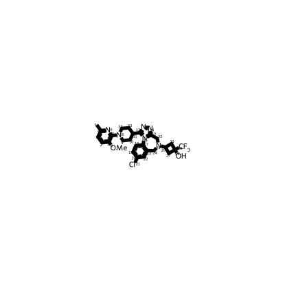 COc1ccc(C)nc1N1CCC(c2nnc3n2-c2ccc(Cl)cc2CN(C2CC(O)(C(F)(F)F)C2)C3)CC1